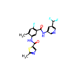 Cc1ncc(C(=O)Nc2cc(C(=O)Nc3cncc(C(F)F)c3)c(F)cc2C)s1